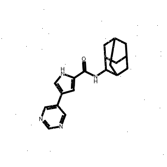 O=C(NC1C2CC3CC(C2)CC1C3)c1cc(-c2cncnc2)c[nH]1